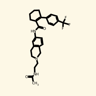 CC(=O)NCCN1CCc2cc(NC(=O)C3=C(c4ccc(C(F)(F)F)cc4)CCCC3)ccc2C1